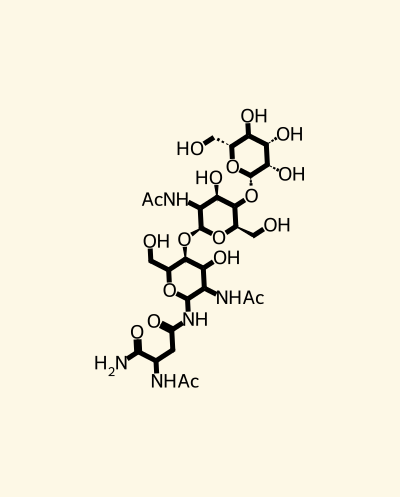 CC(=O)NC(CC(=O)NC1OC(CO)[C@@H](O[C@@H]2O[C@H](CO)C(O[C@@H]3O[C@H](CO)C(O)[C@H](O)[C@@H]3O)[C@H](O)C2NC(C)=O)C(O)C1NC(C)=O)C(N)=O